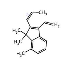 C=CC1=C(/C=C\C)C(C)(C)c2c(C)cccc21